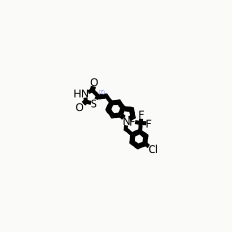 O=C1NC(=O)/C(=C/c2ccc3c(ccn3Cc3ccc(Cl)cc3C(F)(F)F)c2)S1